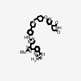 CCC(c1cccc(-c2nc(C(C)(C)C)sc2-c2ccnc(Nc3ccc(C4CCN(CC5CCC(Oc6ccc([C@@H]7CCC(=O)NC7=O)cn6)CC5)CC4)cc3)n2)c1F)S(N)(=O)=O